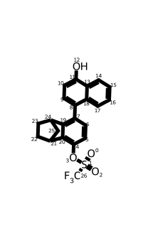 O=S(=O)(Oc1ccc(-c2ccc(O)c3ccccc23)c2c1C1CCC2C1)C(F)(F)F